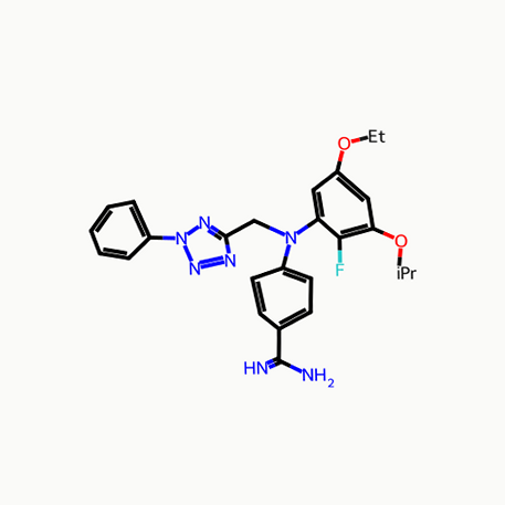 CCOc1cc(OC(C)C)c(F)c(N(Cc2nnn(-c3ccccc3)n2)c2ccc(C(=N)N)cc2)c1